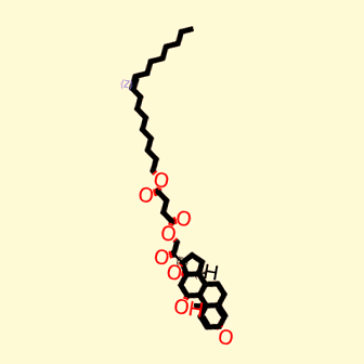 CCCCCCC/C=C\CCCCCCCCOC(=O)CCC(=O)OCC(=O)[C@@]12CC[C@H]3C4CCC5=CC(=O)C=CC5(C)C4C(O)CC31O2